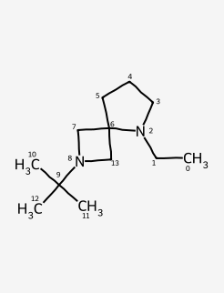 CCN1CCCC12CN(C(C)(C)C)C2